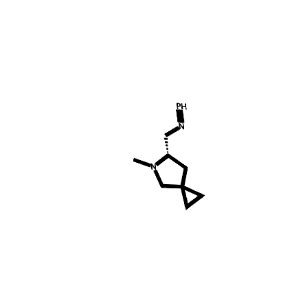 CN1CC2(CC2)C[C@H]1CN=P